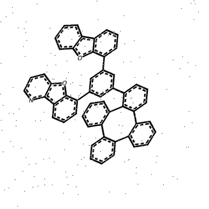 c1ccc2c(c1)-c1ccccc1-c1cccc(-c3cc(-c4cccc5c4oc4ccccc45)cc(-c4cccc5c4oc4cccnc45)c3)c1-c1ccccc1-2